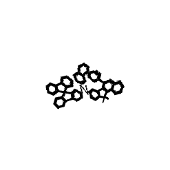 CC1(C)c2ccc(N(c3ccc4c(c3)C3(c5ccccc5-c5ccccc53)c3ccccc3-4)c3ccc4ccccc4c3)cc2-c2c(-c3ccccc3)cc3ccccc3c21